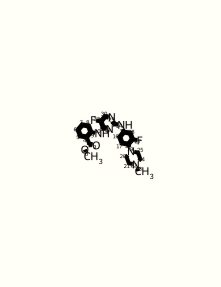 COC(=O)c1ccccc1Nc1nc(Nc2ccc(N3CCN(C)CC3)c(F)c2)ncc1F